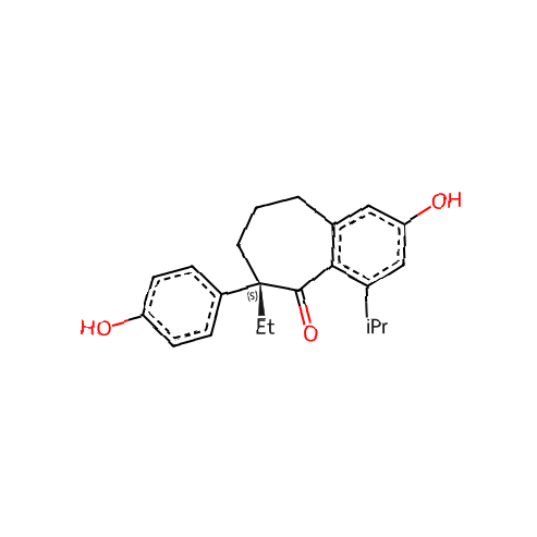 CC[C@@]1(c2ccc(O)cc2)CCCc2cc(O)cc(C(C)C)c2C1=O